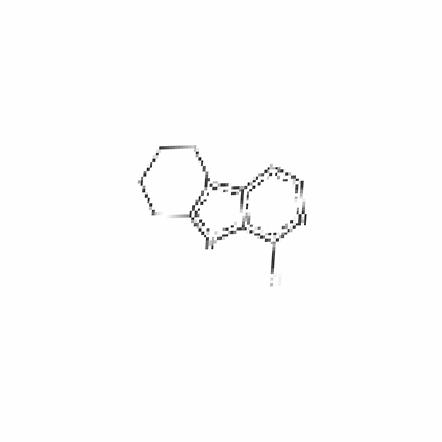 Clc1nccc2c1nc1n2CCCC1